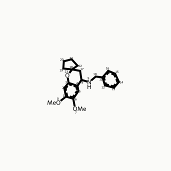 COc1cc2c(cc1OC)C(NCc1ccccc1)CC1(CCCC1)O2